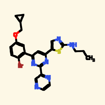 CCCNc1ncc(-c2cc(-c3cc(OCC4CC4)ccc3Br)nc(-c3cnccn3)n2)s1